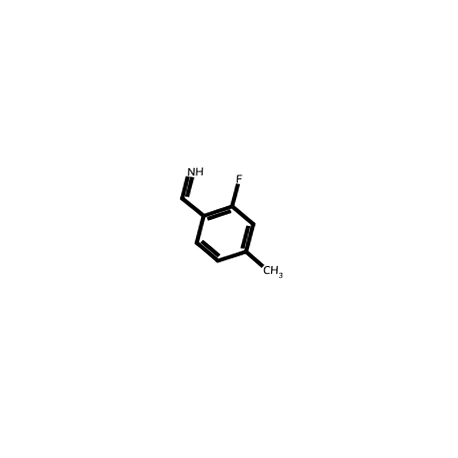 Cc1ccc(C=N)c(F)c1